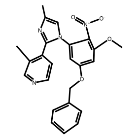 COc1cc(OCc2ccccc2)cc(-n2cc(C)nc2-c2ccncc2C)c1[N+](=O)[O-]